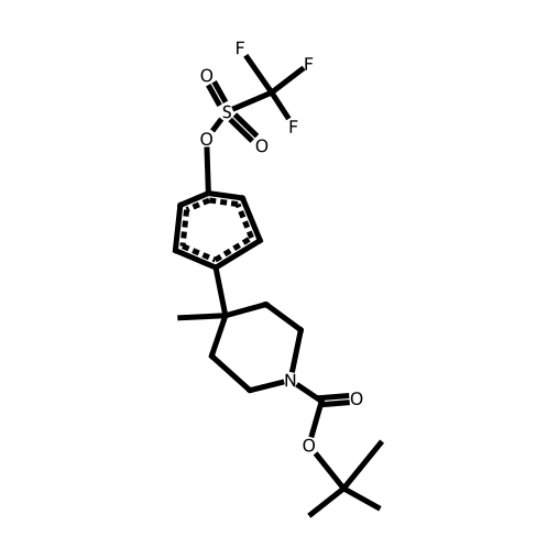 CC(C)(C)OC(=O)N1CCC(C)(c2ccc(OS(=O)(=O)C(F)(F)F)cc2)CC1